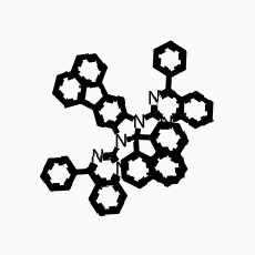 c1ccc(-c2nc(N3c4cc5c(cc4N(c4nc(-c6ccccc6)c6ccccc6n4)C3(c3cccc4ccccc34)c3cccc4ccccc34)-c3cccc4cccc-5c34)nc3ccccc23)cc1